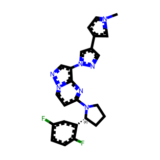 Cn1ccc(-c2cnn(-c3cnn4ccc(N5CCC[C@@H]5c5cc(F)ccc5F)nc34)c2)c1